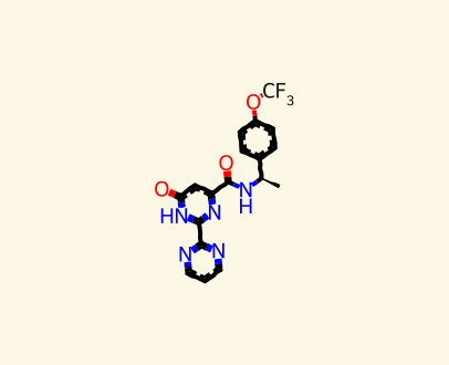 C[C@@H](NC(=O)c1cc(=O)[nH]c(-c2ncccn2)n1)c1ccc(OC(F)(F)F)cc1